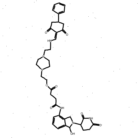 O=C1CCC(N2Cc3c(NC(=O)CCC(=O)OCCN4CCN(CCNC=C5C(=O)CC(c6ccccc6)CC5=O)CC4)cccc3C2O)C(=O)N1